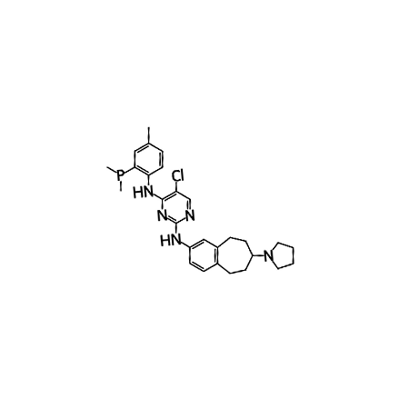 Cc1ccc(Nc2nc(Nc3ccc4c(c3)CCC(N3CCCC3)CC4)ncc2Cl)c(P(C)C)c1